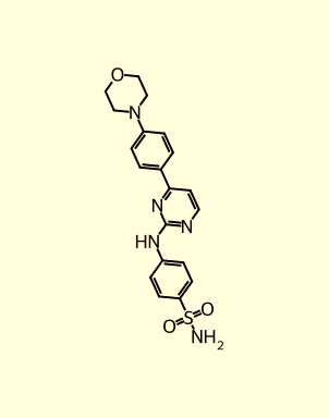 NS(=O)(=O)c1ccc(Nc2nccc(-c3ccc(N4CCOCC4)cc3)n2)cc1